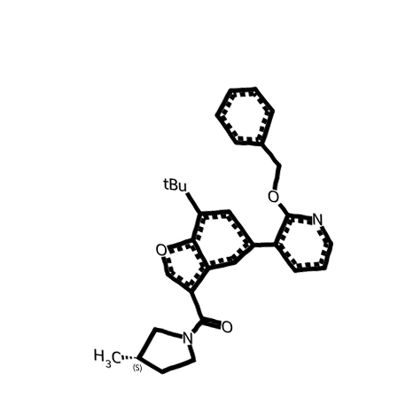 C[C@H]1CCN(C(=O)c2coc3c(C(C)(C)C)cc(-c4cccnc4OCc4ccccc4)cc23)C1